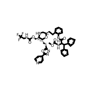 COC(=O)NC(C(=O)Nc1ccccc1CC[C@@H]1CN[C@H](COC(=O)NCC(F)(F)F)[C@@H](CSc2nnc(-c3ccncc3)o2)O1)C(c1ccccc1)c1ccccc1